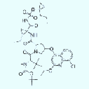 CCCC1(OS(=O)(=O)NC(=O)[C@@]2(NC(=O)[C@@H]3C[C@@H](Oc4cc(OCC)nc5c(Cl)cccc45)CN3C(=O)[C@@H](NC(=O)OC(C)(C)C)C(C)(C)C)C[C@H]2CC)CC1